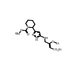 CCOC(=O)/C=C(/CNc1cc(C2CCCCN2C(=O)OC(C)(C)C)n[nH]1)OCC